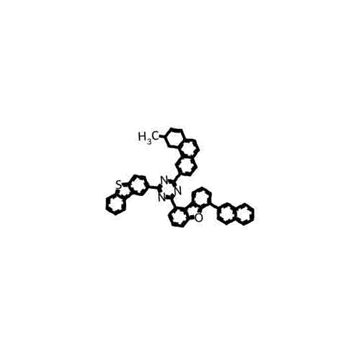 CC1C=Cc2ccc3ccc(-c4nc(-c5ccc6sc7ccccc7c6c5)nc(-c5cccc6oc7c(-c8ccc9ccccc9c8)cccc7c56)n4)cc3c2C1